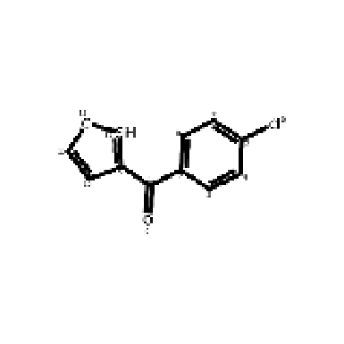 O=C(c1ccc(Cl)cc1)c1cco[siH]1